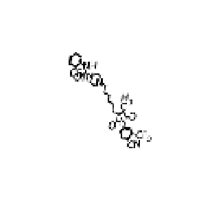 CC1=C(CCCCCCN2CCN(C(=O)Nc3ccccc3C(F)(F)F)CC2)C(=O)N(c2ccc(C#N)c(C(F)(F)F)c2)C1=O